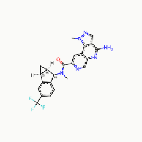 CN(C(=O)c1cc2c(cn1)nc(N)c1cnn(C)c12)[C@H]1c2ccc(C(F)(F)F)cc2[C@H]2C[C@H]21